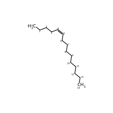 [CH2]CCC/C=C\CCCCCCCCC